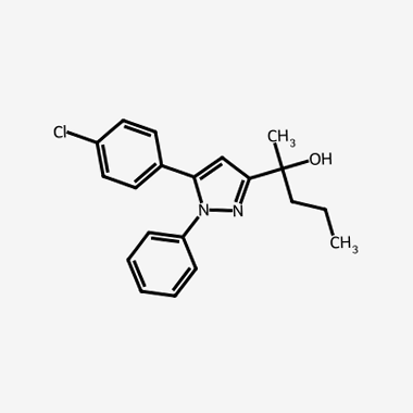 CCCC(C)(O)c1cc(-c2ccc(Cl)cc2)n(-c2ccccc2)n1